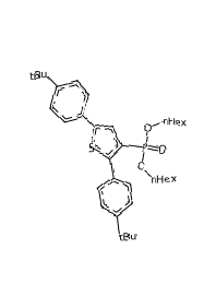 CCCCCCOP(=O)(OCCCCCC)c1cc(-c2ccc(C(C)(C)C)cc2)sc1-c1ccc(C(C)(C)C)cc1